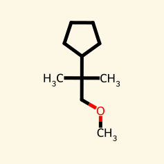 COCC(C)(C)C1CCCC1